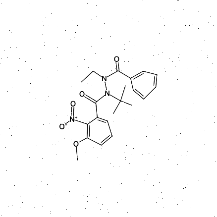 CCN(C(=O)c1ccccc1)N(C(=O)c1cccc(OC)c1[N+](=O)[O-])C(C)(C)C